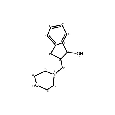 OC1c2ccccc2CC1CN1CCOCC1